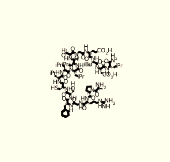 CC[C@H](C)[C@H](NC(=O)[C@H](CCC(=O)O)NC(=O)CNC(=O)[C@@H](NC(=O)[C@H](CC(C)C)NC(=O)[C@H](CC(C)C)NC(=O)[C@H](CC(C)C)NC(=O)[C@H](CC(C)C)NC(=O)[C@H](CS)NC(=O)[C@H](CO)NC(=O)[C@H](Cc1ccccc1)NC(=O)CNC(=O)[C@H](CCCNC(=N)N)NC(=O)[C@@H]1CCCN1C(=O)[C@H](C)N)[C@@H](C)O)C(=O)N[C@@H](CC(=O)O)C(=O)N[C@@H](CC(C)C)C(N)=O